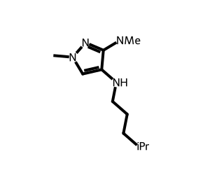 CNc1nn(C)cc1NCCCC(C)C